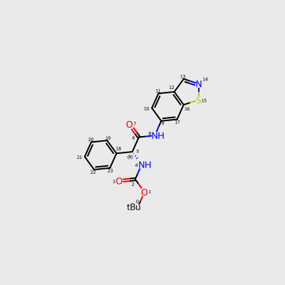 CC(C)(C)OC(=O)N[C@@H](C(=O)Nc1ccc2cnsc2c1)c1ccccc1